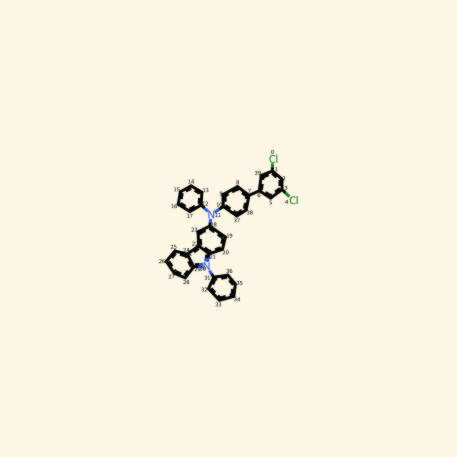 Clc1cc(Cl)cc(-c2ccc(N(c3ccccc3)c3ccc4c(c3)c3ccccc3n4-c3ccccc3)cc2)c1